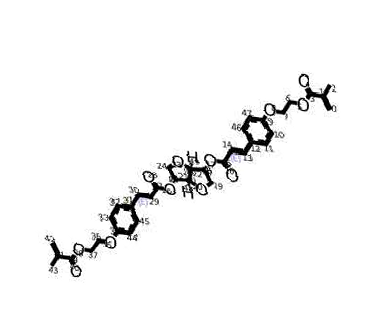 C=C(C)C(=O)OCCOc1ccc(/C=C/C(=O)O[C@@H]2CO[C@H]3[C@@H]2OC[C@H]3OC(=O)/C=C/c2ccc(OCCOC(=O)C(=C)C)cc2)cc1